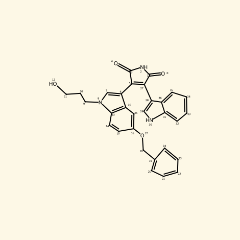 O=C1NC(=O)C(c2cn(CCCO)c3ccc(OCc4ccccc4)cc23)=C1c1c[nH]c2ccccc12